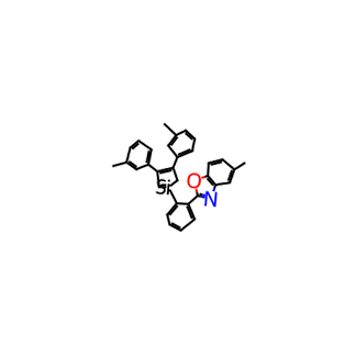 Cc1cccc(C2=C(c3cccc(C)c3)C[Si](c3ccccc3-c3nc4cc(C)ccc4o3)=C2)c1